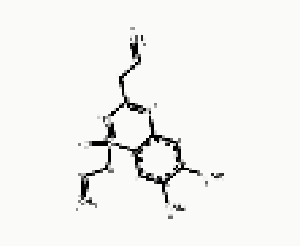 C=CCC1=Nc2cc(OC)c(OC)cc2S(=O)(CC=C)=N1